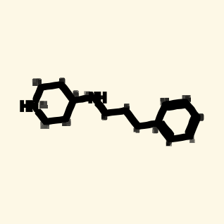 c1ccc(CCCNC2CCNCC2)cc1